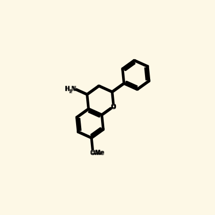 COc1ccc2c(c1)OC(c1ccccc1)CC2N